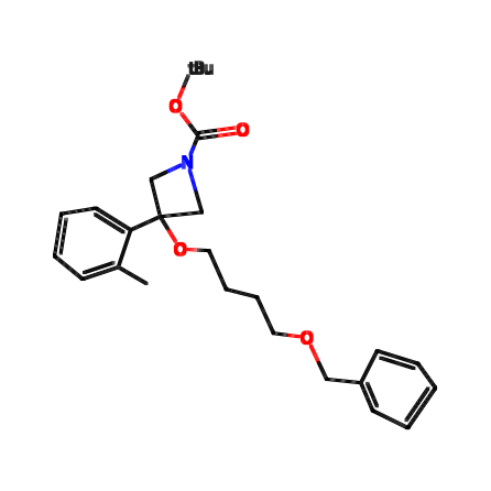 Cc1ccccc1C1(OCCCCOCc2ccccc2)CN(C(=O)OC(C)(C)C)C1